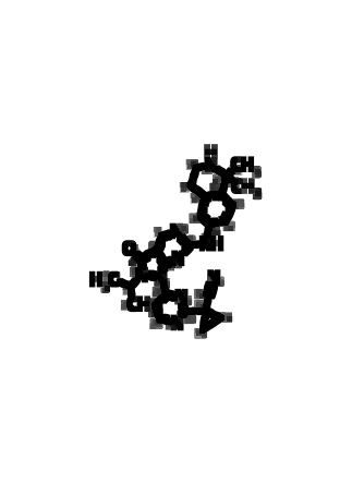 CC(C)n1c(=O)c2cnc(Nc3ccc4c(c3)CCNC4(C)C)nc2n1-c1ccnc(C2(C#N)CC2)n1